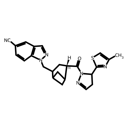 Cc1csc(C2CC=NN2C(=O)[C@H]2CC(Cn3ncc4cc(C#N)ccc43)C3CC2C3)n1